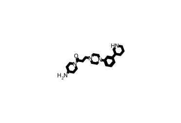 NC1CCN(C(=O)CCN2CCN(c3cccc(C4CCCNC4)c3)CC2)CC1